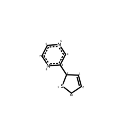 C1=CC(c2cnccn2)SC1